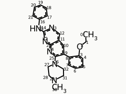 CCOc1ccccc1-c1cc2cnc(Nc3ccccc3)nc2nc1N1CCN(C)CC1